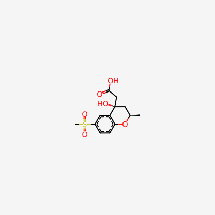 C[C@@H]1C[C@@](O)(CC(=O)O)c2cc(S(C)(=O)=O)ccc2O1